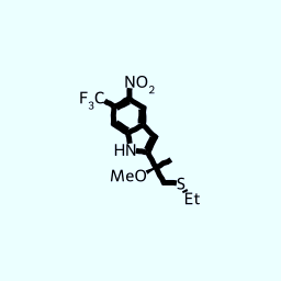 CCSC[C@](C)(OC)c1cc2cc([N+](=O)[O-])c(C(F)(F)F)cc2[nH]1